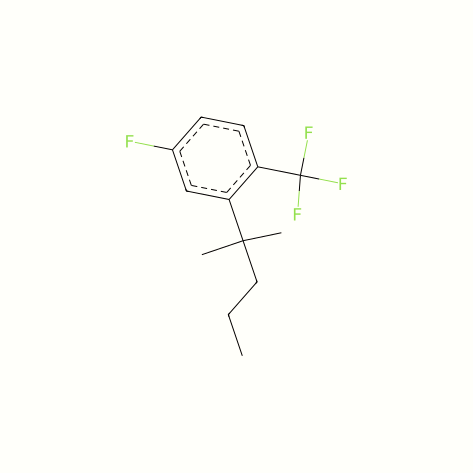 CCCC(C)(C)c1cc(F)ccc1C(F)(F)F